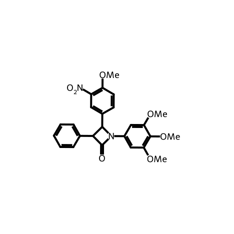 COc1ccc(C2C(c3ccccc3)C(=O)N2c2cc(OC)c(OC)c(OC)c2)cc1[N+](=O)[O-]